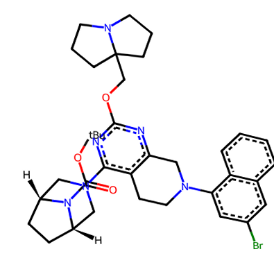 CC(C)(C)OC(=O)N1[C@@H]2CC[C@H]1CN(c1nc(OCC34CCCN3CCC4)nc3c1CCN(c1cc(Br)cc4ccccc14)C3)C2